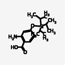 CC(C)[Si](Oc1ccc(C(=O)O)c(N)c1)(C(C)C)C(C)C